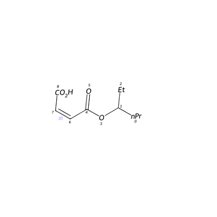 CCCC(CC)OC(=O)/C=C\C(=O)O